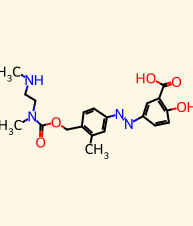 CNCCN(C)C(=O)OCc1ccc(N=Nc2ccc(O)c(C(=O)O)c2)cc1C